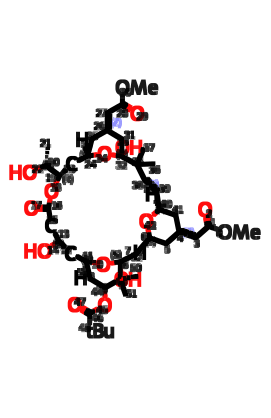 COC(=O)/C=C1/C[C@H]2C[C@]3(O)O[C@H](C[C@@H](O)CC(=O)O[C@@H]([C@@H](C)O)C[C@@H]4C/C(=C/C(=O)OC)C[C@@](O)(O4)C(C)(C)/C=C/[C@@H](C1)O2)C[C@H](OC(=O)C(C)(C)C)C3(C)C